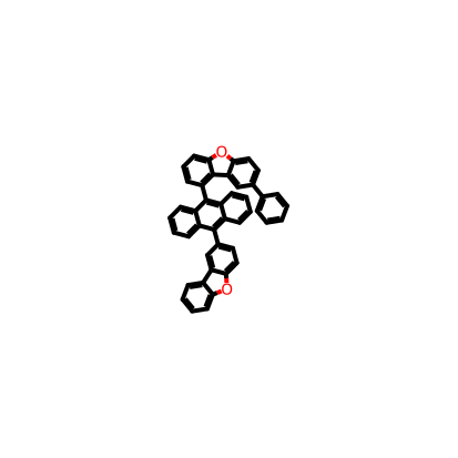 c1ccc(-c2ccc3oc4cccc(-c5c6ccccc6c(-c6ccc7oc8ccccc8c7c6)c6ccccc56)c4c3c2)cc1